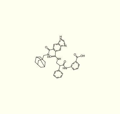 O=C(O)c1cccc(NC(=O)C(CNC(=O)c2cc3nc[nH]c3cc2C(=O)NCC23CC4CC(CC(C4)C2)C3)c2ccccc2)c1